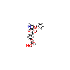 Cc1cc(OCc2ccccc2)c(C(=O)C=Cc2cccc(OCC(=O)O)c2)c(=O)n1C